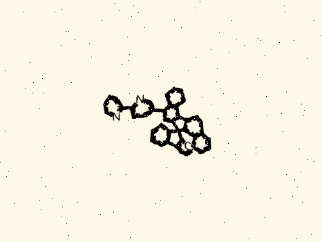 c1ccc(-c2ccc(-c3cc4c(c5ccccc35)-c3ccc5ccccc5c3C43c4ccccc4-c4ccccc43)cn2)nc1